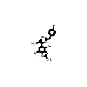 Cc1nc2c(O)c(C3(NC(=N)Cc4ccc(F)cc4)CC3C)cc(Cl)c2[nH]1